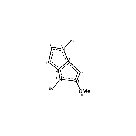 COc1cc2c(ccn2C)n1C